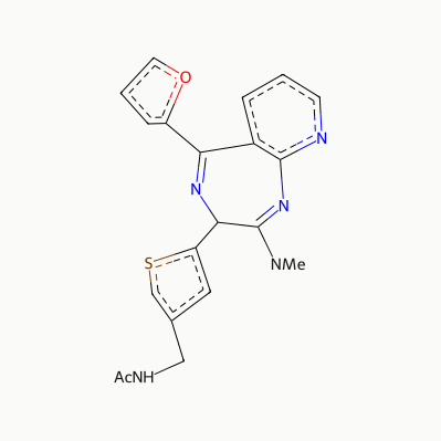 CNC1=Nc2ncccc2C(c2ccco2)=NC1c1cc(CNC(C)=O)cs1